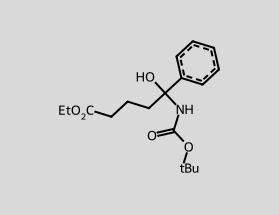 CCOC(=O)CCCC(O)(NC(=O)OC(C)(C)C)c1ccccc1